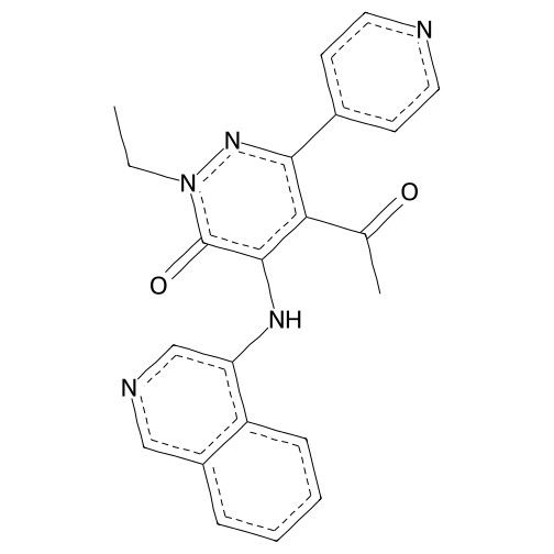 CCn1nc(-c2ccncc2)c(C(C)=O)c(Nc2cncc3ccccc23)c1=O